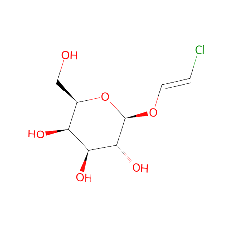 OC[C@H]1O[C@@H](OC=CCl)[C@H](O)[C@@H](O)[C@H]1O